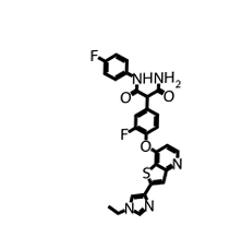 CCn1cnc(-c2cc3nccc(Oc4ccc(C(C(N)=O)C(=O)Nc5ccc(F)cc5)cc4F)c3s2)c1